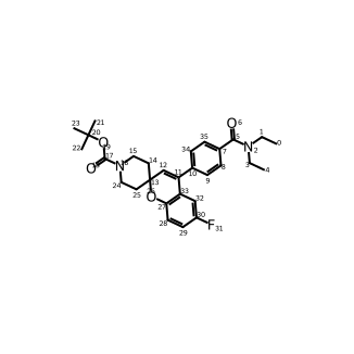 CCN(CC)C(=O)c1ccc(C2=CC3(CCN(C(=O)OC(C)(C)C)CC3)Oc3ccc(F)cc32)cc1